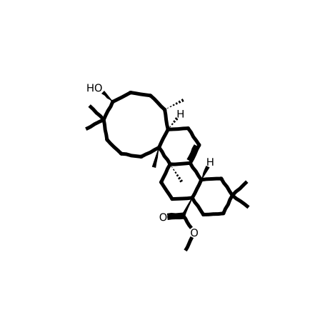 COC(=O)[C@]12CCC(C)(C)C[C@H]1C1=CC[C@@H]3[C@@H](C)CC[C@H](O)C(C)(C)CCC[C@@]3(C)[C@]1(C)CC2